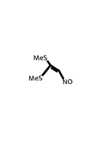 CSC(=CN=O)SC